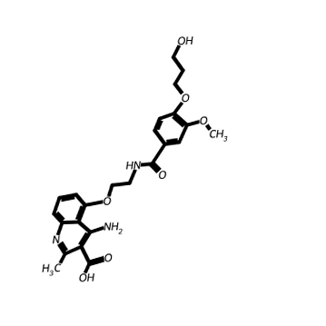 COc1cc(C(=O)NCCOc2cccc3nc(C)c(C(=O)O)c(N)c23)ccc1OCCCO